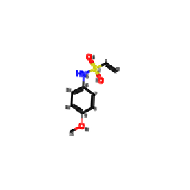 C=CS(=O)(=O)Nc1ccc(OC)cc1